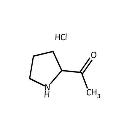 CC(=O)C1CCCN1.Cl